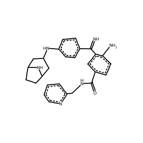 N=C(c1ccc(NC2CC3CCC(C2)N3)cc1)c1cc(C(=O)NCc2ccccn2)ccc1N